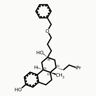 CC(C)CC[C@H]1C[C@](O)(CCCOCc2ccccc2)C[C@@H]2c3ccc(O)cc3CC[C@@]12C